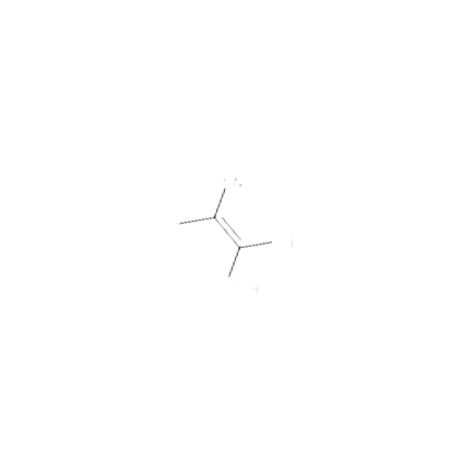 CC(C(=O)O)=C(I)C#N